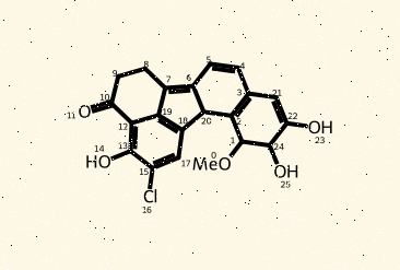 COC1C2=C(C=CC3=C4CCC(=O)c5c(O)c(Cl)cc(c54)C32)C=C(O)C1O